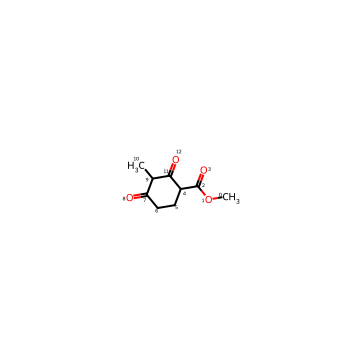 COC(=O)C1CCC(=O)C(C)C1=O